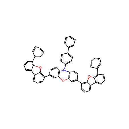 c1ccc(-c2ccc(N3c4ccc(-c5cccc6c5oc5c(-c7ccccc7)cccc56)cc4Oc4cc(-c5cccc6c5oc5c(-c7ccccc7)cccc56)ccc43)cc2)cc1